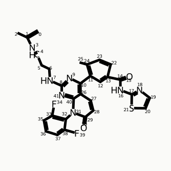 C=C(C)NCCCNc1nc(-c2cc(C(=O)Nc3nccs3)ccc2C)c2ccc(=O)n(-c3c(F)cccc3F)c2n1